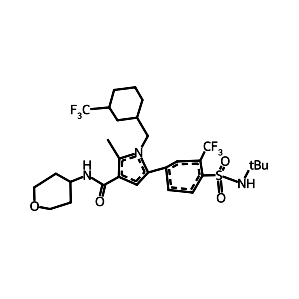 Cc1c(C(=O)NC2CCOCC2)cc(-c2ccc(S(=O)(=O)NC(C)(C)C)c(C(F)(F)F)c2)n1CC1CCCC(C(F)(F)F)C1